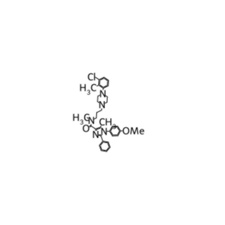 COc1ccc(-n2c(-c3ccccc3)nc(C(=O)N(C)CCCN3CCN(c4cccc(Cl)c4C)CC3)c2C)cc1